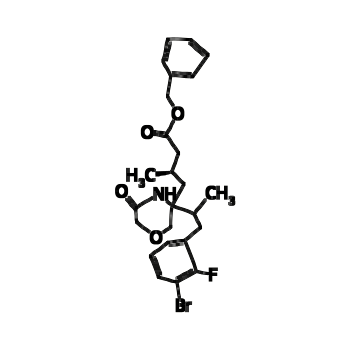 CC(Cc1cccc(Br)c1F)C1(C[C@@H](C)CC(=O)OCc2ccccc2)COCC(=O)N1